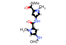 CNC(=O)c1cc(NC(=O)c2cc(NC=O)cn2C)cn1C